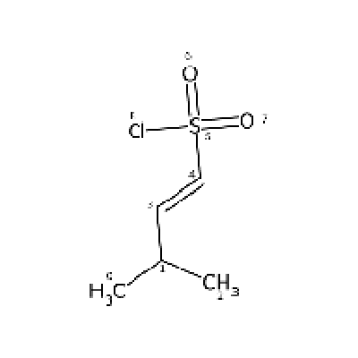 CC(C)/C=C/S(=O)(=O)Cl